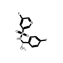 C[C@H](NS(=O)(=O)c1cncc(F)c1)c1ccc(F)cc1